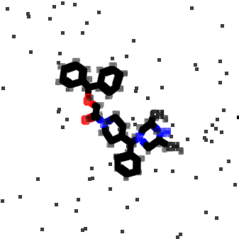 CC1CN(C(c2ccccc2)C2CCN(C(=O)COC(c3ccccc3)c3ccccc3)CC2)CC(C)N1